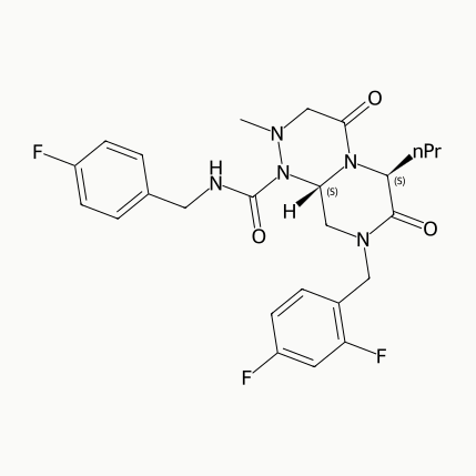 CCC[C@H]1C(=O)N(Cc2ccc(F)cc2F)C[C@H]2N1C(=O)CN(C)N2C(=O)NCc1ccc(F)cc1